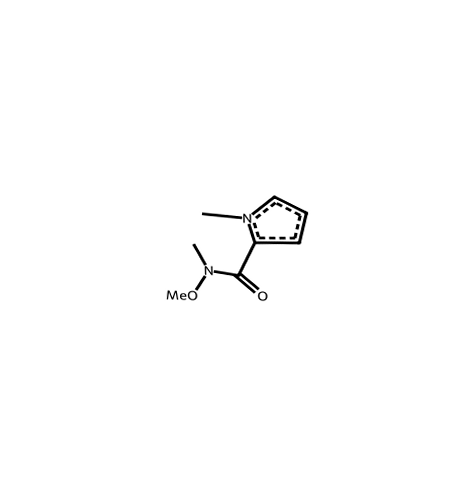 CON(C)C(=O)c1cccn1C